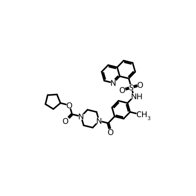 Cc1cc(C(=O)N2CCN(C(=O)OC3CCCC3)CC2)ccc1NS(=O)(=O)c1cccc2cccnc12